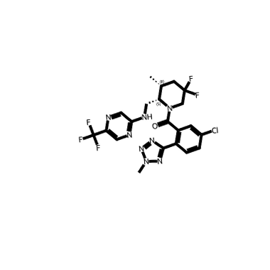 C[C@@H]1CC(F)(F)CN(C(=O)c2cc(Cl)ccc2-c2nnn(C)n2)[C@@H]1CNc1cnc(C(F)(F)F)cn1